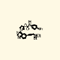 CCN(CC)CC#Cc1ccc2ncnc(N3CCC(OC(=O)Nc4ccc(C(C)C)cc4)C3)c2c1